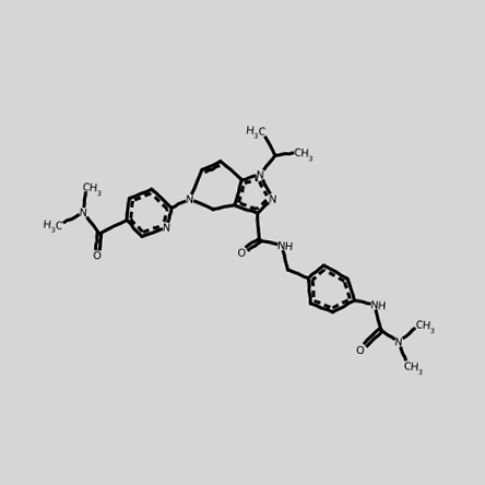 CC(C)n1nc(C(=O)NCc2ccc(NC(=O)N(C)C)cc2)c2c1C=CN(c1ccc(C(=O)N(C)C)cn1)C2